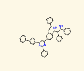 N=C(/C(=C1\NC(c2ccccc2)=Cc2cc(-c3cc(-c4ccc(-c5ccccc5)cc4)nc(-c4ccccc4)n3)ccc21)c1ccccc1)c1ccccc1